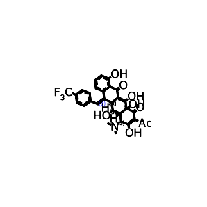 CC(=O)C1=C(O)[C@@H](N(C)C)[C@@H]2[C@@H](O)[C@H]3C(=C(O)[C@]2(O)C1=O)C(=O)c1c(O)cccc1/C3=C\c1ccc(C(F)(F)F)cc1